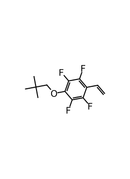 C=Cc1c(F)c(F)c(OCC(C)(C)C)c(F)c1F